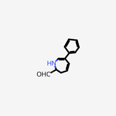 O=CC1CC=CC(c2ccccc2)=CN1